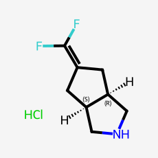 Cl.FC(F)=C1C[C@H]2CNC[C@H]2C1